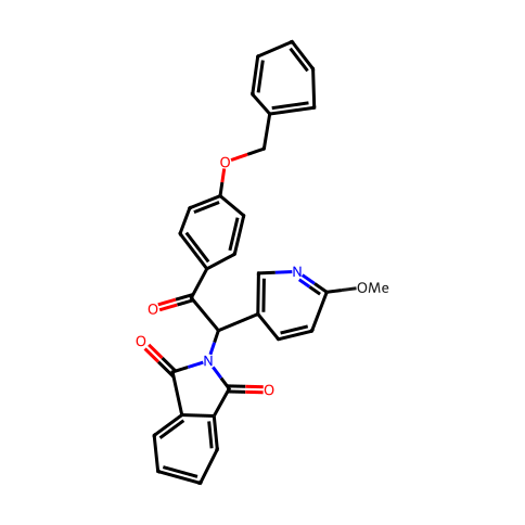 COc1ccc(C(C(=O)c2ccc(OCc3ccccc3)cc2)N2C(=O)c3ccccc3C2=O)cn1